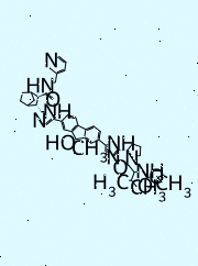 COC(=O)N[C@H](C(=O)N1CCC[C@H]1c1ncc(-c2ccc3c(c2)[C@](C)(O)c2cc(-c4cnc([C@@H]5C6CCC(C6)[C@H]5C(=O)NCc5cccnc5)[nH]4)ccc2-3)[nH]1)C(C)C